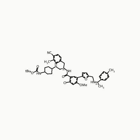 COc1cc(Cl)c(C(=O)N[C@@H](CNC2CCC(NC(=O)OC(C)(C)C)CC2)Cc2ccc(C#N)c(C)c2)cc1-c1ccc(CN[C@H](C)c2ccc(C)cc2)o1